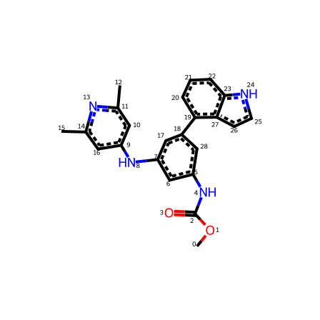 COC(=O)Nc1cc(Nc2cc(C)nc(C)c2)cc(-c2cccc3[nH]ccc23)c1